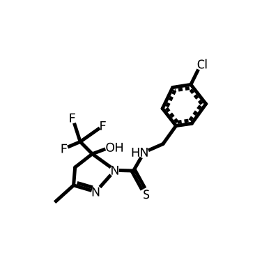 CC1=NN(C(=S)NCc2ccc(Cl)cc2)C(O)(C(F)(F)F)C1